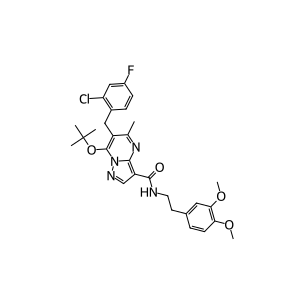 COc1ccc(CCNC(=O)c2cnn3c(OC(C)(C)C)c(Cc4ccc(F)cc4Cl)c(C)nc23)cc1OC